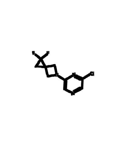 FC1(F)CC12CN(c1cncc(Cl)n1)C2